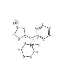 C[N+]1(C(c2ccccc2)C2CCCC2)CCCCC1.[OH-]